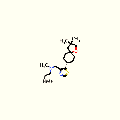 CNCCN(C)Cc1ncsc1[C@H]1CC[C@@]2(CC1)CC(C)(C)CO2